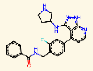 O=C(NCc1ccc(-c2ccnc3[nH]nc(NC4CCNC4)c23)cc1F)c1ccccc1